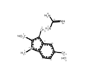 Cc1c(C(=O)O)n(C)c2ccc(C(F)(F)F)cc12.Cl.N=C(N)N